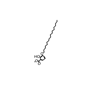 CCCCCCCCCCCCCCCCCCOc1cccc(C(=O)OC)c1O